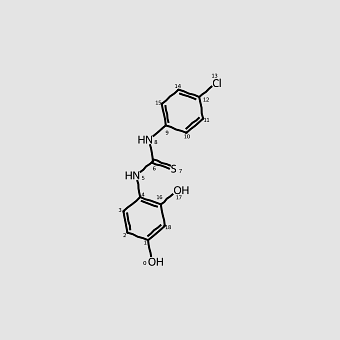 Oc1ccc(NC(=S)Nc2ccc(Cl)cc2)c(O)c1